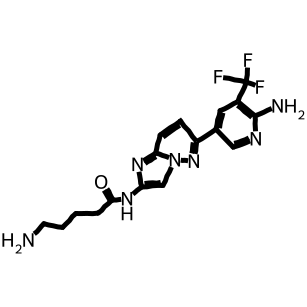 NCCCCC(=O)Nc1cn2nc(-c3cnc(N)c(C(F)(F)F)c3)ccc2n1